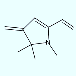 C=CC1=CC(=C)C(C)(C)N1C